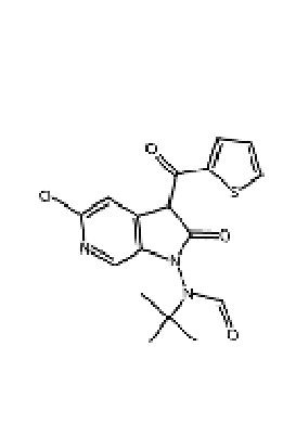 CC(C)(C)N(C=O)N1C(=O)C(C(=O)c2cccs2)c2cc(Cl)ncc21